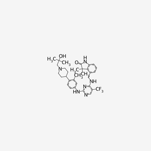 Cc1cc(Nc2ncc(C(F)(F)F)c(NCc3cccc4c3C(C)(C)C(=O)N4)n2)ccc1C1CCN(CC(C)(C)O)CC1